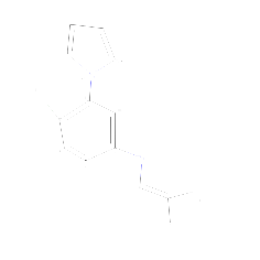 CCOC(=O)C(=CNc1ccc(F)c(-n2cccc2)c1)C(=O)OCC